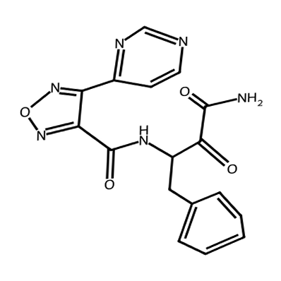 NC(=O)C(=O)C(Cc1ccccc1)NC(=O)c1nonc1-c1ccncn1